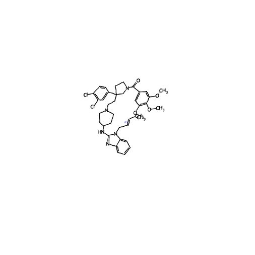 C/C=C/Cn1c(NC2CCN(CCC3(c4ccc(Cl)c(Cl)c4)CCN(C(=O)c4cc(OC)c(OC)c(OC)c4)C3)CC2)nc2ccccc21